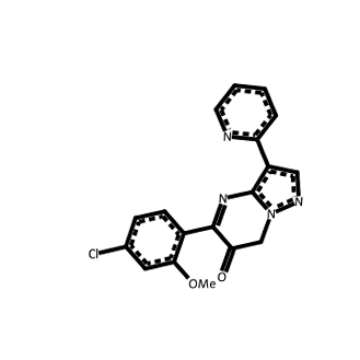 COc1cc(Cl)ccc1C1=Nc2c(-c3ccccn3)cnn2CC1=O